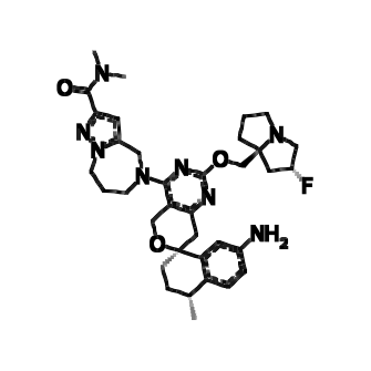 C[C@@H]1CC[C@]2(Cc3nc(OC[C@@]45CCCN4C[C@H](F)C5)nc(N4CCCn5nc(C(=O)N(C)C)cc5C4)c3CO2)c2cc(N)ccc21